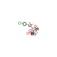 Cc1sc(-c2ccc(Cl)cc2)cc1C1=C(OC(=O)C(C)(C)C)[C@@H]2[C@H](C1=O)[C@H]1CC[C@@H]2O1